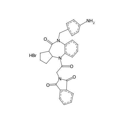 Br.Nc1ccc(CN2C(=O)C3CCCC3N(C(=O)CN3C(=O)c4ccccc4C3=O)c3ccccc32)cc1